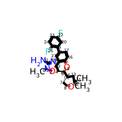 CN1OC2(C[C@H]([C@H]3CCOC(C)(C)C3)Oc3ccc(-c4cc(F)ccc4F)cc32)N=C1N